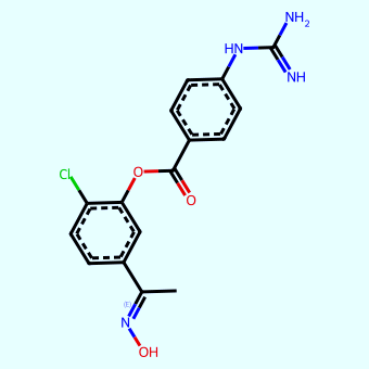 C/C(=N\O)c1ccc(Cl)c(OC(=O)c2ccc(NC(=N)N)cc2)c1